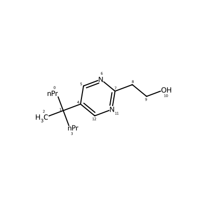 CCCC(C)(CCC)c1cnc(CCO)nc1